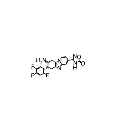 N[C@H]1Cc2c(nc3cc(-c4noc(=O)[nH]4)ccn23)C[C@@H]1c1cc(F)c(F)cc1F